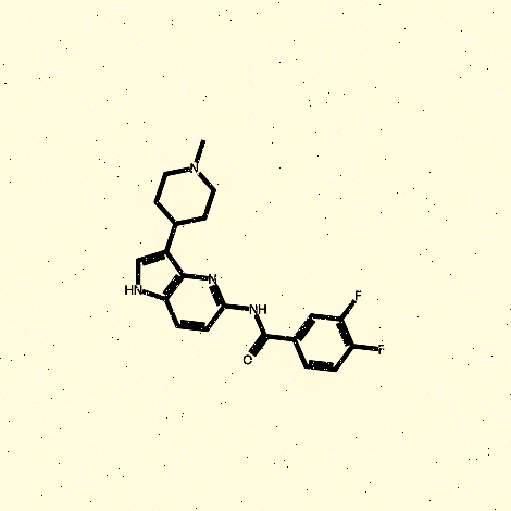 CN1CCC(c2c[nH]c3ccc(NC(=O)c4ccc(F)c(F)c4)nc23)CC1